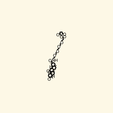 C[C@H]1C(=O)CC[C@]2(C)[C@H]3C(=O)C=C4C(CC[C@@]5(C)CC[C@](C)(C(=O)NCCOCCOCCOCCOCCC(=O)ON6C(=O)CCC6=O)C[C@H]45)[C@]3(C)CC[C@@H]12